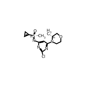 C[C@@H]1COCCN1c1cc(N=[S@](C)(=O)C2=CC2)nc(Cl)n1